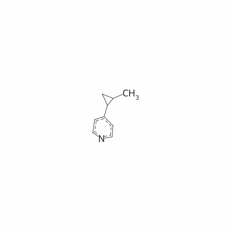 CC1CC1c1ccncc1